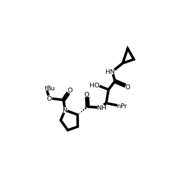 CCCC(NC(=O)[C@@H]1CCCN1C(=O)OC(C)(C)C)C(O)C(=O)NC1CC1